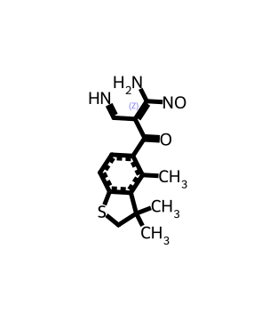 Cc1c(C(=O)/C(C=N)=C(/N)N=O)ccc2c1C(C)(C)CS2